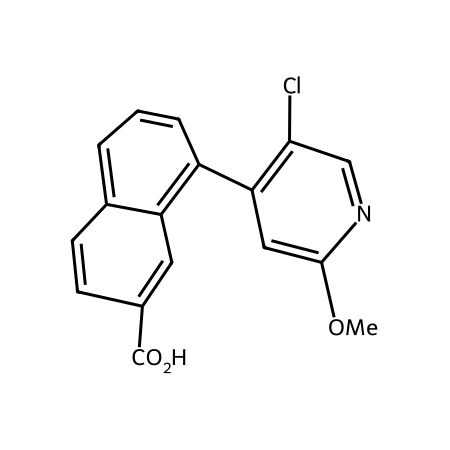 COc1cc(-c2cccc3ccc(C(=O)O)cc23)c(Cl)cn1